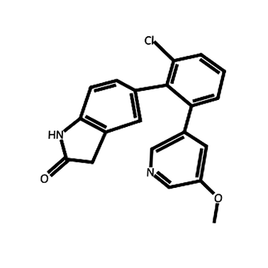 COc1cncc(-c2cccc(Cl)c2-c2ccc3c(c2)CC(=O)N3)c1